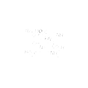 CC(C)(C)OC(=O)C1CCC2C(N)CC(C(=O)O)N2C1=O.O=C(O)C1CNCC(C(=O)O)N1